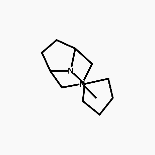 CN1CC2CCC(C1)N2C1CCCC1